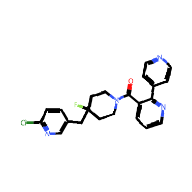 O=C(c1cccnc1-c1ccncc1)N1CCC(F)(Cc2ccc(Cl)nc2)CC1